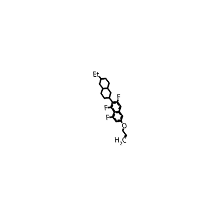 C=CCOc1cc(F)c2c(F)c(C3CCC4CC(CC)CCC4C3)c(F)cc2c1